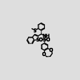 CSc1ccccc1C(NS(=O)(=O)c1ccc2c(c1)OCCCO2)c1cc2ccccc2s1